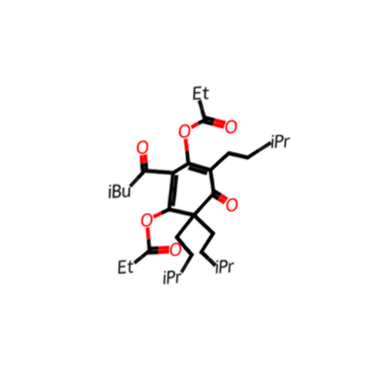 CCC(=O)OC1=C(CCC(C)C)C(=O)C(CCC(C)C)(CCC(C)C)C(OC(=O)CC)=C1C(=O)C(C)CC